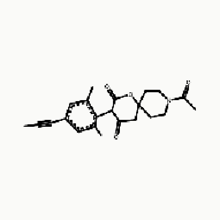 CC#Cc1cc(C)c(C2C(=O)CC3(CCN(C(C)=O)CC3)OC2=O)c(C)c1